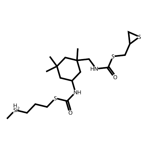 C[SiH2]CCCSC(=O)NC1CC(C)(C)CC(C)(CNC(=O)SCC2CS2)C1